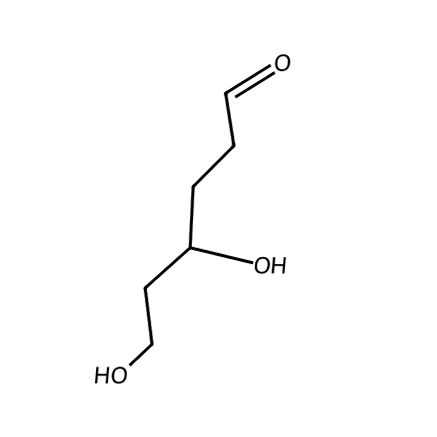 O=CCCC(O)CCO